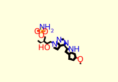 CC[C@@H](COS(N)(=O)=O)[C@@H](O)Cn1ccc2c(-c3cc4ccc(OC)cc4[nH]3)ncnc21